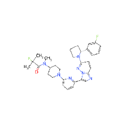 CN(C(=O)C(C)(C)F)C1CCN(c2cccc(-c3cnc4ccc(N5CCC[C@@H]5c5cccc(F)c5)nn34)n2)CC1